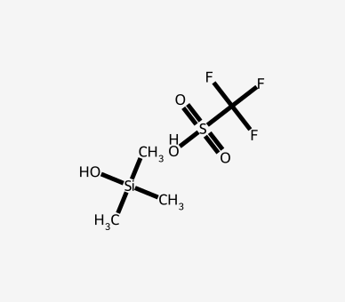 C[Si](C)(C)O.O=S(=O)(O)C(F)(F)F